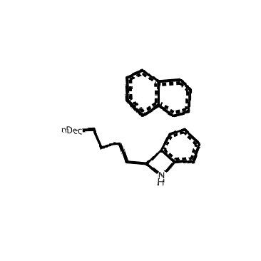 CCCCCCCCCCCCCCC1Nc2ccccc21.c1ccc2ccccc2c1